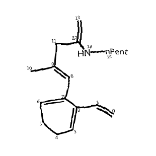 C=CC1=CCCC=C1/C=C(\C)CC(=C)NCCCCC